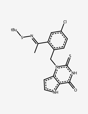 C/C(=N\SC(C)(C)C)c1cc(Cl)ccc1Cn1c(=S)[nH]c(=O)c2[nH]ccc21